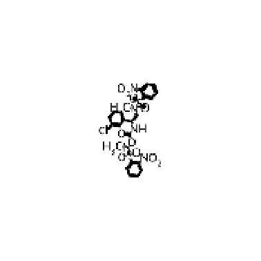 CN(CC(NC(=O)ON(C)S(=O)(=O)c1ccccc1[N+](=O)[O-])c1cccc(Cl)c1)S(=O)(=O)c1ccccc1[N+](=O)[O-]